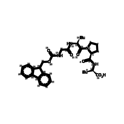 CC[C@H](C)[C@H](NC(=O)[C@@H]1CCCN1C(=O)[C@@H](NC(=O)CNC(=O)OCC1c2ccccc2-c2ccccc21)[C@@H](C)CC)C(=O)O